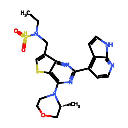 CCN(Cc1csc2c(N3CCOC[C@H]3C)nc(-c3ccnc4[nH]ccc34)nc12)[SH](=O)=O